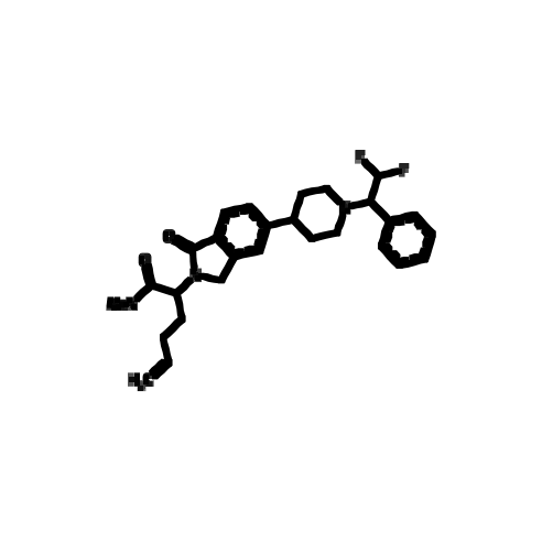 C=CCCC(C(=O)NC)N1Cc2cc(C3CCN(C(c4ccccc4)C(F)F)CC3)ccc2C1=O